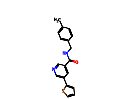 Cc1ccc(CNC(=O)c2cncc(-c3cccs3)c2)cc1